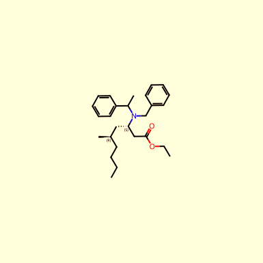 CCCC[C@@H](C)C[C@@H](CC(=O)OCC)N(Cc1ccccc1)C(C)c1ccccc1